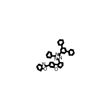 c1ccc(-c2cc(-c3ccccc3)cc(-c3nc(-c4ccccc4)nc(-c4cccc5oc6cc(-c7nc8ccccc8o7)ccc6c45)n3)c2)cc1